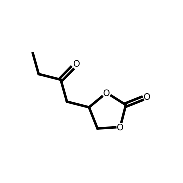 CCC(=O)CC1COC(=O)O1